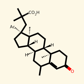 CC(=O)[C@@]1(CC(C)(C)C(=O)O)CC[C@H]2[C@@H]3CC(C)C4=CC(=O)CC[C@]4(C)[C@H]3CC[C@@]21C